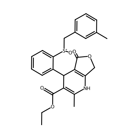 CCOC(=O)C1=C(C)NC2=C(C(=O)OC2)C1c1ccccc1[S+]([O-])Cc1cccc(C)c1